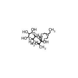 C=C(C)C(=O)O.C=C(C)C(=O)O.CCN(CC)CC.OCC(O)CO